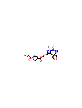 CCn1nc(CCCOC(=O)C2CCN(C(=O)OC)CC2)c2c1C(=O)NCC1(CCOCC1)C2